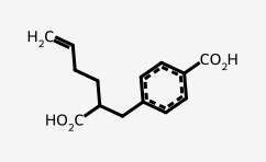 C=CCCC(Cc1ccc(C(=O)O)cc1)C(=O)O